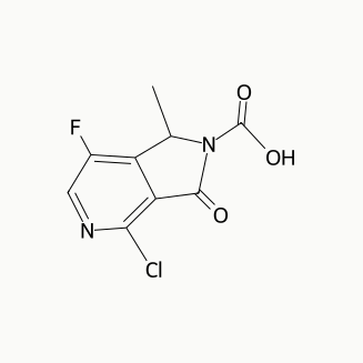 CC1c2c(F)cnc(Cl)c2C(=O)N1C(=O)O